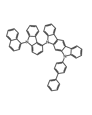 c1ccc(-c2ccc(-n3c4ccccc4c4cc5c6ccccc6n(-c6cccc7c6c6ccccc6n7-c6cccc7ccccc67)c5cc43)cc2)cc1